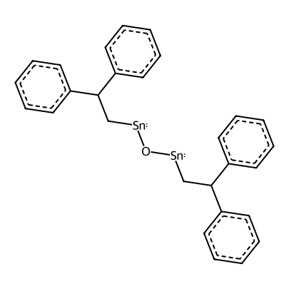 c1ccc(C([CH2][Sn][O][Sn][CH2]C(c2ccccc2)c2ccccc2)c2ccccc2)cc1